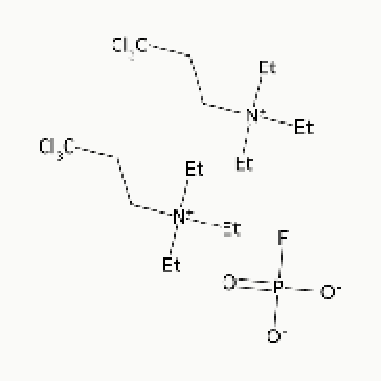 CC[N+](CC)(CC)CCC(Cl)(Cl)Cl.CC[N+](CC)(CC)CCC(Cl)(Cl)Cl.O=P([O-])([O-])F